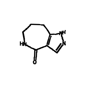 O=C1NCCCc2[nH]ncc21